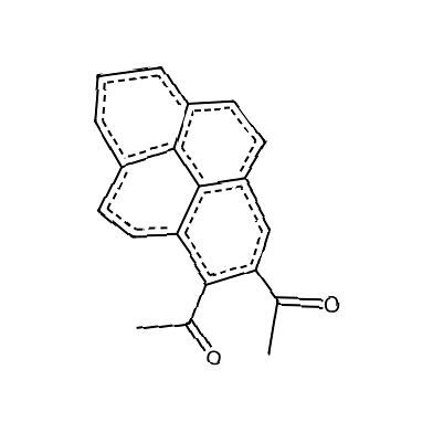 CC(=O)c1cc2ccc3cccc4ccc(c1C(C)=O)c2c34